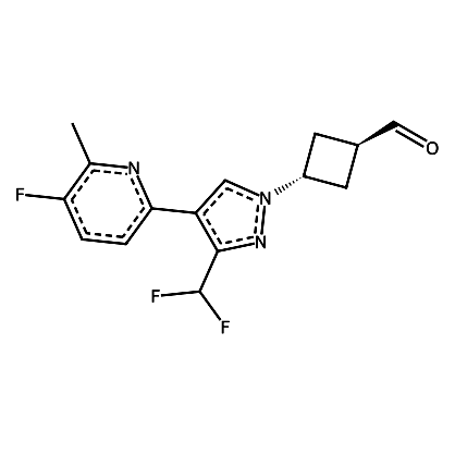 Cc1nc(-c2cn([C@H]3C[C@H](C=O)C3)nc2C(F)F)ccc1F